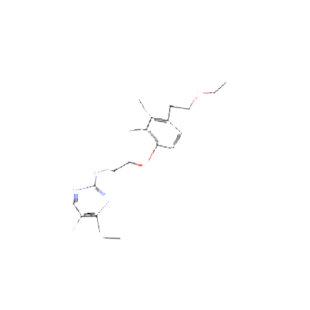 CCOCCc1ccc(OCCNc2ncc(Cl)c(CC)n2)c(C)c1C